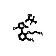 Cn1ncc(Cl)c1-c1cccc(N)c1OCCN.O=C(O)C(F)(F)F